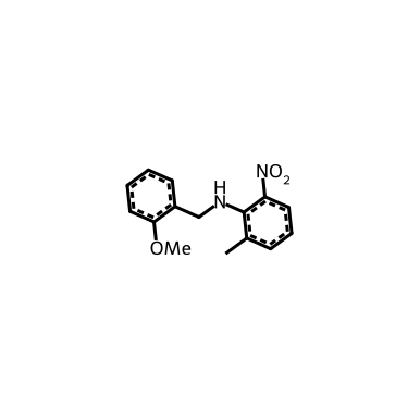 COc1ccccc1CNc1c(C)cccc1[N+](=O)[O-]